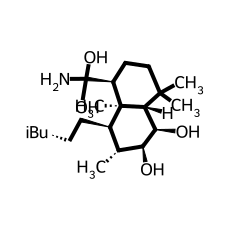 CC[C@@H](C)CC[C@@H]1[C@@H](C)[C@H](O)[C@H](O)[C@H]2C(C)(C)CC[C@H](C(N)(O)O)[C@]12C